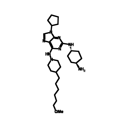 COCCCCCCC1CCN(Nc2nc(N[C@H]3CC[C@H](N)CC3)nc3c2ncn3C2CCCC2)CC1